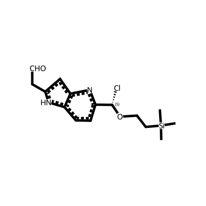 C[Si](C)(C)CCO[C@@H](Cl)c1ccc2[nH]c(CC=O)cc2n1